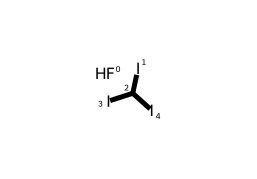 F.IC(I)I